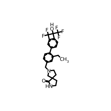 CCc1cc(CN2CCC3(CCNC3=O)C2)ccc1-c1ccc2c(c1)C(F)(F)C2(O)C(F)(F)F